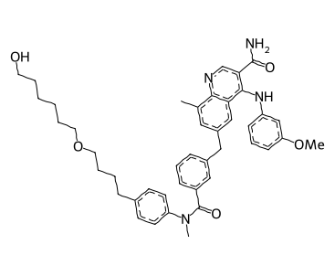 COc1cccc(Nc2c(C(N)=O)cnc3c(C)cc(Cc4cccc(C(=O)N(C)c5ccc(CCCCOCCCCCCO)cc5)c4)cc23)c1